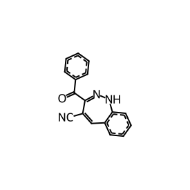 N#CC1=Cc2ccccc2NN=C1C(=O)c1ccccc1